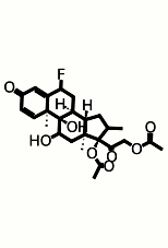 CC(=O)OCC(=O)[C@@]1(OC(C)=O)C(C)C[C@H]2[C@@H]3CC(F)C4=CC(=O)C=C[C@]4(C)[C@@]3(O)C(O)C[C@@]21C